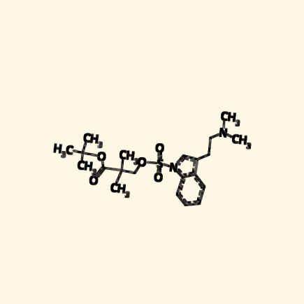 CN(C)CCc1cn(S(=O)(=O)OCC(C)(C)C(=O)OC(C)(C)C)c2ccccc12